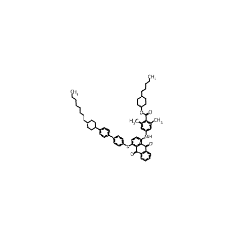 CCCCCCCCC1CCC(c2ccc(-c3ccc(Sc4ccc(Nc5cc(C)c(C(=O)OC6CCC(CCCCC)CC6)c(C)c5)c5c4C(=O)c4ccccc4C5=O)cc3)cc2)CC1